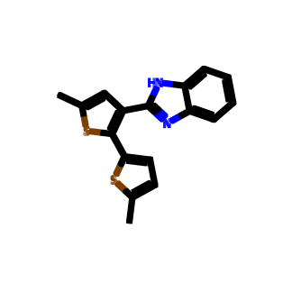 Cc1ccc(-c2sc(C)cc2-c2nc3ccccc3[nH]2)s1